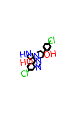 O[C@H]1CNC[C@@]1(c1ncnc2cc(Cl)ccc12)N1CCC(O)(c2ccc(Cl)cc2)CC1